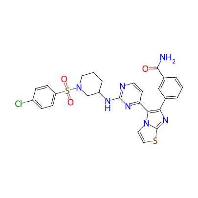 NC(=O)c1cccc(-c2nc3sccn3c2-c2ccnc(NC3CCCN(S(=O)(=O)c4ccc(Cl)cc4)C3)n2)c1